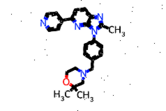 Cc1nc2ccc(-c3ccncc3)nc2n1-c1ccc(CN2CCOC(C)(C)C2)cc1